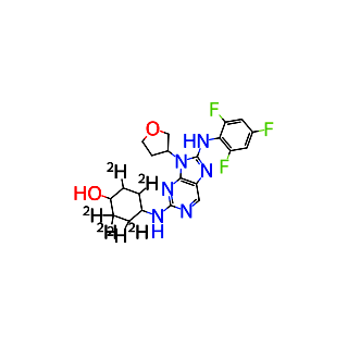 [2H]C1C([2H])C(Nc2ncc3nc(Nc4c(F)cc(F)cc4F)n(C4CCOC4)c3n2)C([2H])([2H])C([2H])([2H])C1O